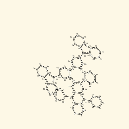 c1ccc(-n2c3ccccc3n(-c3ccccc3)c3cc4c(cc32)c2cc(-n3c5ccccc5c5ccccc53)ccc2c2ccc(-n3c5ccccc5c5ccccc53)cc2c2cccnc24)cc1